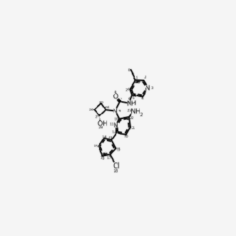 Cc1cncc(NC(=O)N(c2nc(-c3cccc(Cl)c3)ccc2N)C2CC[C@H]2O)c1